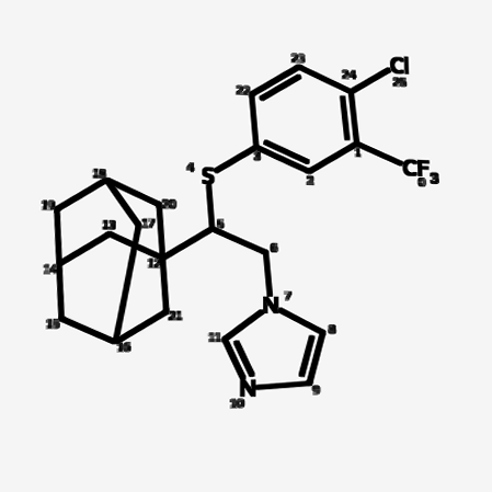 FC(F)(F)c1cc(SC(Cn2ccnc2)C23CC4CC(CC(C4)C2)C3)ccc1Cl